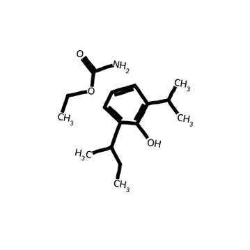 CCC(C)c1cccc(C(C)C)c1O.CCOC(N)=O